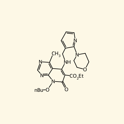 CCCCOn1c(=O)c(C(=O)OCC)c(NCc2cccnc2N2CCOCC2)c2c(C)ncnc21